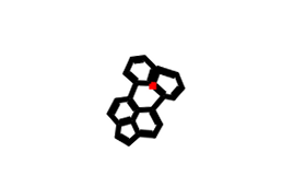 C1=Cc2ccc(-c3ccccc3)c3c(-c4ccccc4)ccc1c23